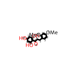 COc1ccc(CCC(=O)c2c(O)cc(O)cc2O)c(OC)c1